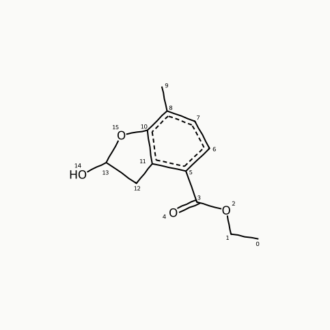 CCOC(=O)c1ccc(C)c2c1CC(O)O2